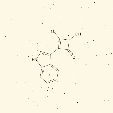 O=C1C(c2c[nH]c3ccccc23)=C(Cl)C1O